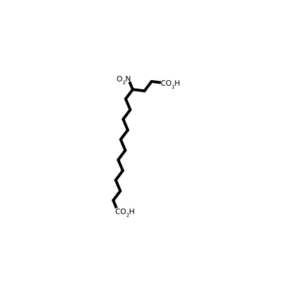 O=C(O)CCCCCCCCCCCC(CCC(=O)O)[N+](=O)[O-]